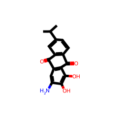 CC(C)c1ccc2c(c1)C(=O)c1cc(N)c(O)c(O)c1C2=O